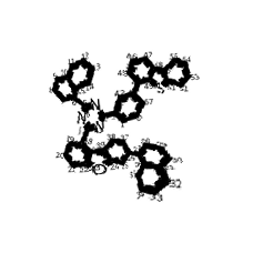 c1cc(-c2nc(-c3cccc4ccccc34)nc(-c3cccc4oc5cc(-c6cccc7ccccc67)ccc5c34)n2)cc(-c2cccc3c2sc2ccccc23)c1